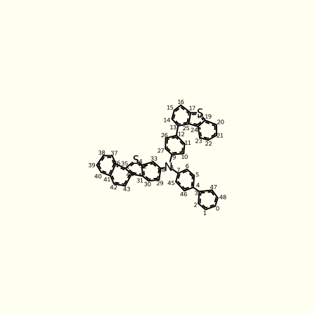 c1ccc(-c2ccc(N(c3ccc(-c4cccc5sc6ccccc6c45)cc3)c3ccc4c(c3)sc3c5ccccc5ccc43)cc2)cc1